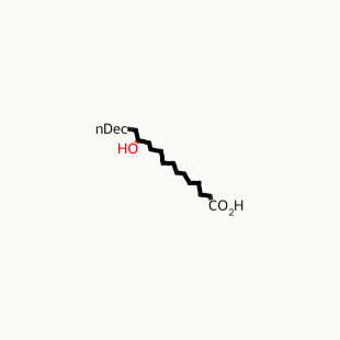 CCCCCCCCCCCC(O)CCCCCCCCCCCC(=O)O